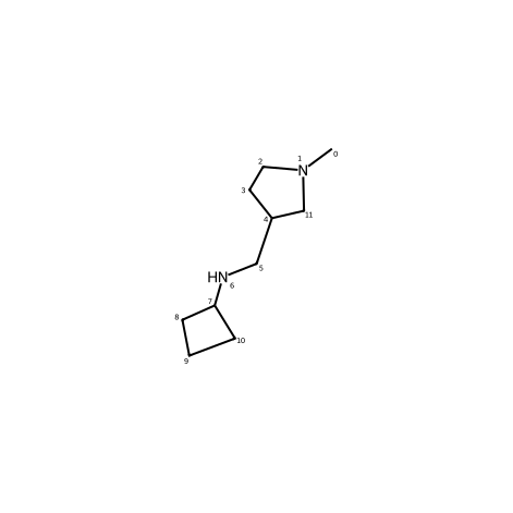 CN1CCC(CNC2CCC2)C1